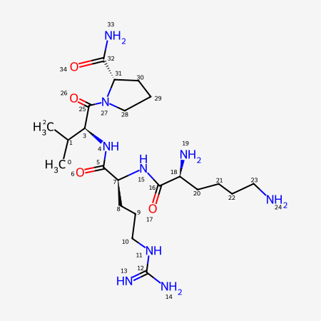 CC(C)[C@H](NC(=O)[C@H](CCCNC(=N)N)NC(=O)[C@@H](N)CCCCN)C(=O)N1CCC[C@H]1C(N)=O